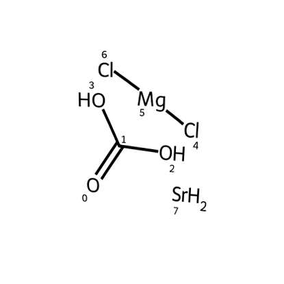 O=C(O)O.[Cl][Mg][Cl].[SrH2]